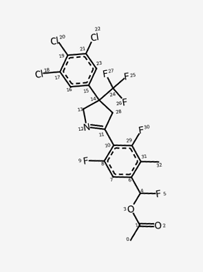 CC(=O)OC(F)c1cc(F)c(C2=NCC(c3cc(Cl)c(Cl)c(Cl)c3)(C(F)(F)F)C2)c(F)c1C